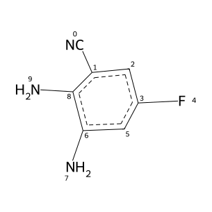 N#Cc1cc(F)cc(N)c1N